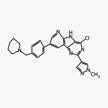 Cn1cc(-c2nc(Cl)c3[nH]c4ncc(-c5ccc(CN6CCCCC6)cc5)cc4c3n2)cn1